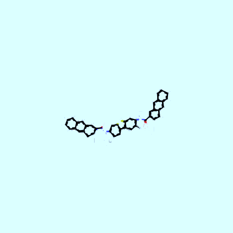 O=C(Nc1cc2sc3cc(NC(=O)c4ccc5cc6ccccc6cc5c4)c(C(=O)O)cc3c2cc1C(=O)O)c1ccc2cc3ccccc3cc2c1